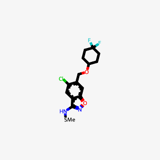 CSNc1noc2cc(COC3CCC(F)(F)CC3)c(Cl)cc12